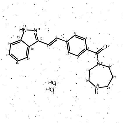 Cl.Cl.O=C(c1ccc(C=Cc2n[nH]c3ccccc23)cc1)N1CCCNCC1